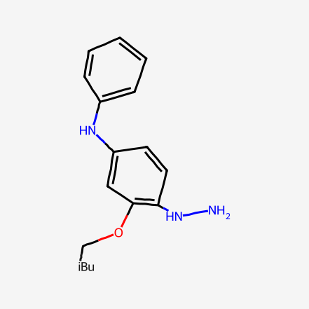 CCC(C)COc1cc(Nc2ccccc2)ccc1NN